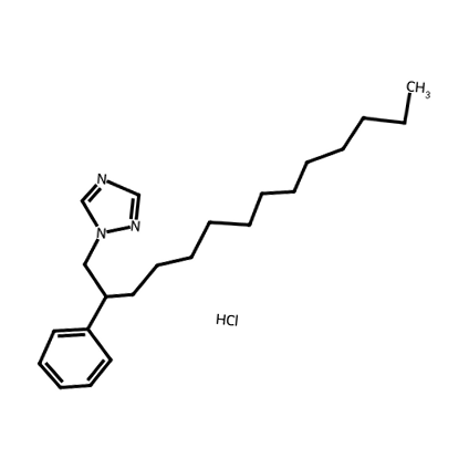 CCCCCCCCCCCCC(Cn1cncn1)c1ccccc1.Cl